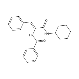 O=C(NC1CCCCC1)/C(=C/c1ccccc1)NC(=O)c1ccccc1